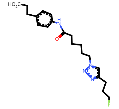 O=C(O)CCc1ccc(NC(=O)CCCCCn2cc(CCCF)nn2)cc1